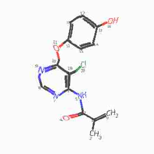 C=C(C)C(=O)Nc1ncnc(Oc2ccc(O)cc2)c1Cl